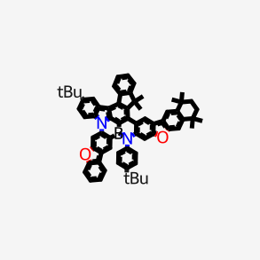 CC(C)(C)c1ccc(N2B3c4cc5c(cc4-n4c6ccc(C(C)(C)C)cc6c6c7c(c(c3c64)-c3cc4c(cc32)oc2cc3c(cc24)C(C)(C)CCC3(C)C)C(C)(C)c2ccccc2-7)oc2ccccc25)cc1